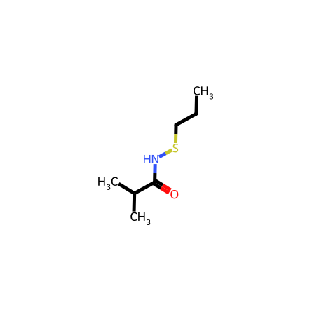 CCCSNC(=O)C(C)C